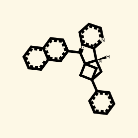 O=C(c1ccc2ccccc2c1)C12CC(c3ccccc3)(C[C@H]1c1ccccn1)C2